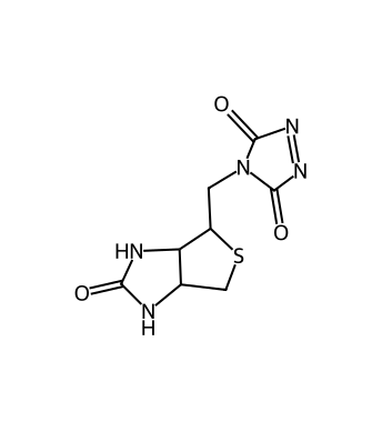 O=C1NC2CSC(CN3C(=O)N=NC3=O)C2N1